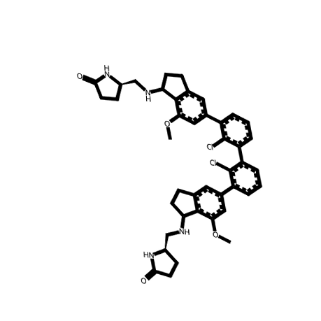 COc1cc(-c2cccc(-c3cccc(-c4cc5c(c(OC)c4)C(NC[C@H]4CCC(=O)N4)CC5)c3Cl)c2Cl)cc2c1C(NC[C@H]1CCC(=O)N1)CC2